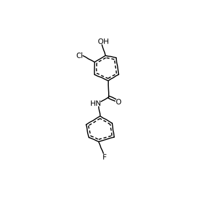 O=C(Nc1ccc(F)cc1)c1ccc(O)c(Cl)c1